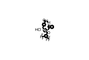 CN(C)C(=O)c1ccc(CN2CCN(C(=O)c3cc(C(F)(F)F)cc(C(F)(F)F)c3)[C@H](Cc3c[nH]c4ccccc34)C2)cc1.Cl